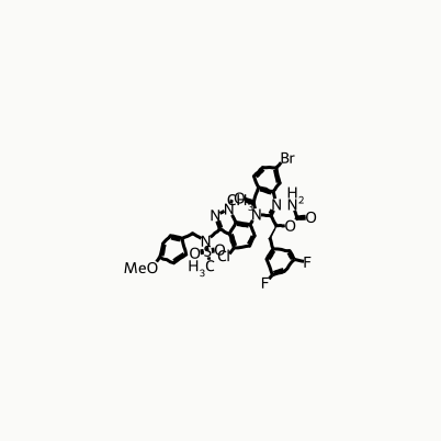 COc1ccc(CN(c2nn(C)c3c(-n4c([C@H](Cc5cc(F)cc(F)c5)OC(N)=O)nc5cc(Br)ccc5c4=O)ccc(Cl)c23)S(C)(=O)=O)cc1